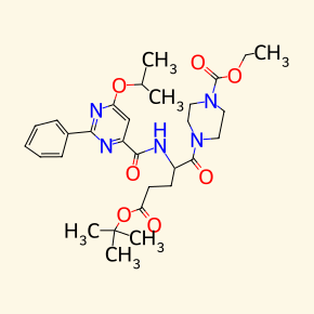 CCOC(=O)N1CCN(C(=O)C(CCC(=O)OC(C)(C)C)NC(=O)c2cc(OC(C)C)nc(-c3ccccc3)n2)CC1